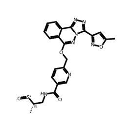 Cc1cc(-c2nnc3c4ccccc4c(OCc4ccc(C(=O)NC[C@H](C)[S+]=O)cn4)nn23)no1